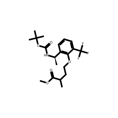 COC(=O)C(C)CCOc1c([C@@H](C)NC(=O)OC(C)(C)C)cccc1C(F)(F)F